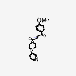 COc1ccc(C(=O)/C=C/C(=O)N2CCN(c3cccnc3)CC2)cc1